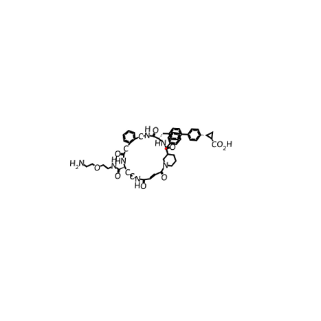 NCCOCCNC(=O)[C@@H]1CCNC(=O)/C=C/C(=O)N2CCC[C@](Cc3ccccc3)(C2)C(=O)N[C@@H](Cc2ccc(-c3ccc([C@@H]4C[C@H]4C(=O)O)cc3)cc2)C(=O)NCc2ccccc2CC(=O)N1